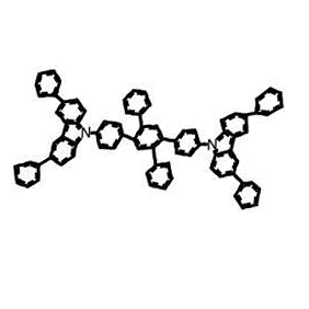 c1ccc(-c2ccc3c(c2)c2cc(-c4ccccc4)ccc2n3-c2ccc(-c3cc(-c4ccccc4)c(-c4ccc(-n5c6ccc(-c7ccccc7)cc6c6cc(-c7ccccc7)ccc65)cc4)cc3-c3ccccc3)cc2)cc1